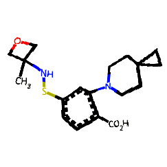 CC1(NSc2ccc(C(=O)O)c(N3CCC4(CC3)CC4)c2)COC1